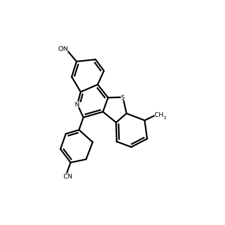 CC1C=CC=C2c3c(C4=CC=C(C#N)CC4)nc4cc(N=O)ccc4c3SC21